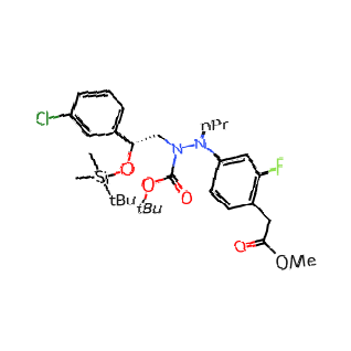 CCCN(c1ccc(CC(=O)OC)c(F)c1)N(C[C@H](O[Si](C)(C)C(C)(C)C)c1cccc(Cl)c1)C(=O)OC(C)(C)C